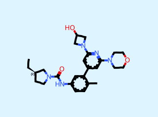 CC[C@@H]1CCN(C(=O)Nc2ccc(C)c(-c3cc(N4CCOCC4)nc(N4CC(O)C4)c3)c2)C1